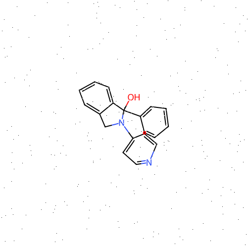 OC1(c2ccccc2)c2ccccc2CN1c1ccncc1